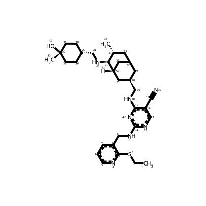 CCSc1ncccc1CNc1ncc(C#N)c(NC[C@@H]2CC3C[C@H](C2)[C@@H](NC[C@H]2CC[C@@](C)(O)CC2)[C@H](C)C3)n1